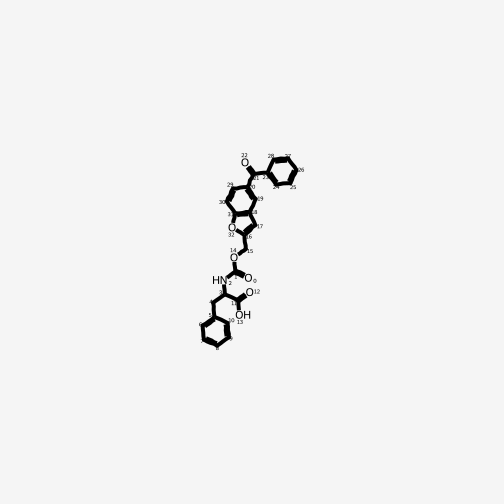 O=C(NC(Cc1ccccc1)C(=O)O)OCc1cc2cc(C(=O)c3ccccc3)ccc2o1